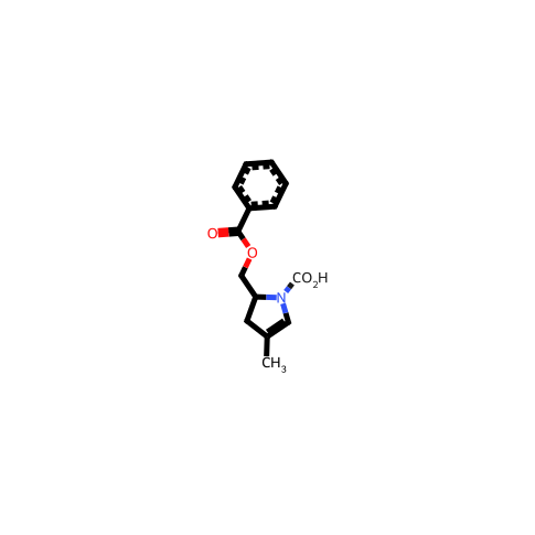 CC1=CN(C(=O)O)C(COC(=O)c2ccccc2)C1